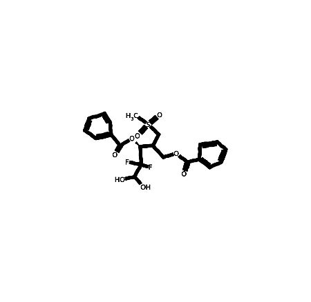 CS(=O)(=O)CC(COC(=O)c1ccccc1)[C@@H](OC(=O)c1ccccc1)C(F)(F)C(O)O